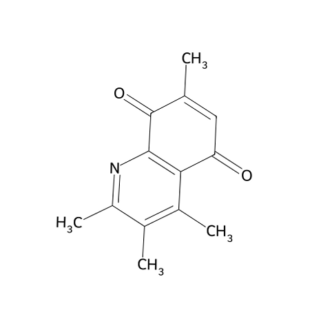 CC1=CC(=O)c2c(nc(C)c(C)c2C)C1=O